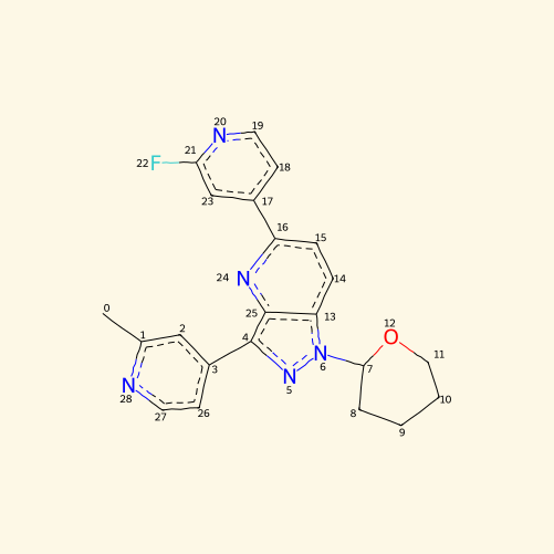 Cc1cc(-c2nn(C3CCCCO3)c3ccc(-c4ccnc(F)c4)nc23)ccn1